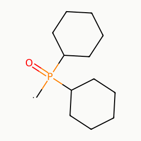 [CH2]P(=O)(C1CCCCC1)C1CCCCC1